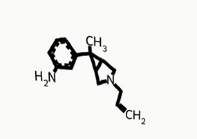 C=CCN1CC2C(C1)C2(C)c1cccc(N)c1